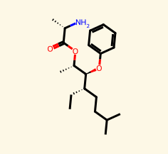 CC[C@@H](CCC(C)C)[C@H](Oc1ccccc1)[C@H](C)OC(=O)[C@H](C)N